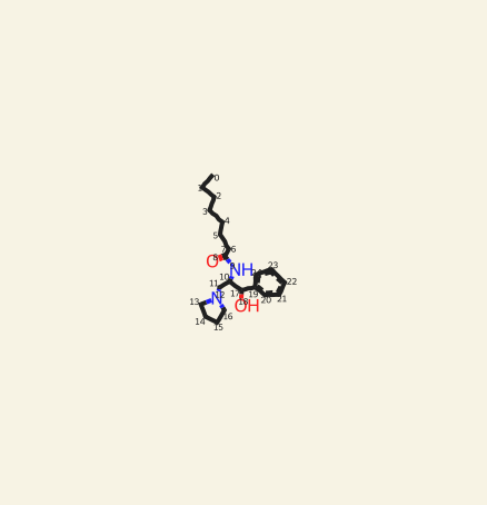 CCCCCCCC(=O)NC(CN1CCCC1)C(O)c1ccccc1